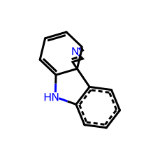 C1=CC2=NC=CC23C(=C1)Nc1ccccc13